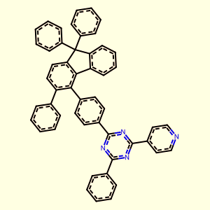 c1ccc(-c2nc(-c3ccncc3)nc(-c3ccc(-c4c(-c5ccccc5)ccc5c4-c4ccccc4C5(c4ccccc4)c4ccccc4)cc3)n2)cc1